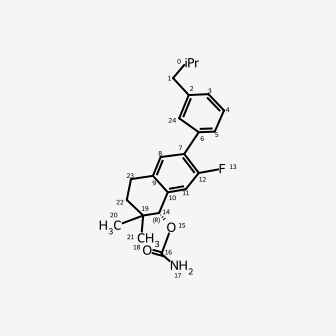 CC(C)Cc1cccc(-c2cc3c(cc2F)[C@H](OC(N)=O)C(C)(C)CC3)c1